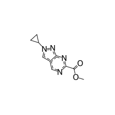 COC(=O)c1ncc2cn(C3CC3)nc2n1